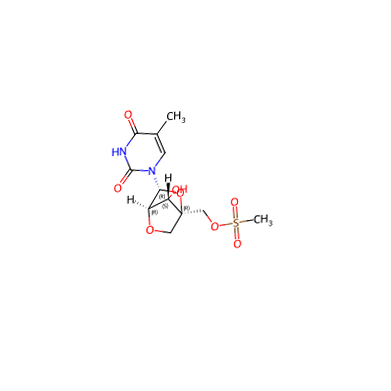 Cc1cn([C@@H]2O[C@@]3(COS(C)(=O)=O)CO[C@@H]2[C@@H]3O)c(=O)[nH]c1=O